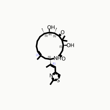 C/C1=C/CCC[C@H](C)[C@@H](O)[C@H](C)C(=O)C(C)(C)[C@@H](O)CC(=O)N[C@H](/C(C)=C/c2csc(C)n2)C1